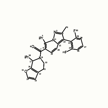 Cc1nn2c(C(C)C)c(C(=O)N3CCc4ccoc4C3C(C)C)ccc2c1-c1c(F)cccc1F